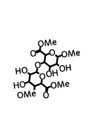 COC(=O)C1OC(OC2C(C(=O)OC)OC(OC)C(O)C2O)C(O)C(O)C1OC